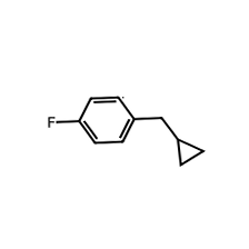 Fc1c[c]c(CC2CC2)cc1